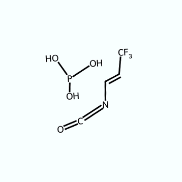 O=C=NC=CC(F)(F)F.OP(O)O